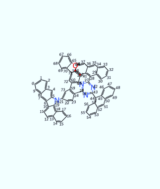 c1ccc2cc3c(cc2c1)c1ccc2ccccc2c1n3-c1ccc(-c2nc(-c3c4ccccc4cc4ccccc34)nc(-c3c4ccccc4cc4ccccc34)n2)c(-c2ccc3oc4ccccc4c3c2)c1